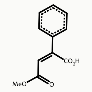 COC(=O)/C=C(\C(=O)O)c1ccccc1